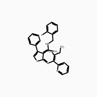 CC/C(C)=C(/N=C1/SC=C(c2ccccc2)/C1=C(/C)NCc1ccccc1F)c1ccccn1